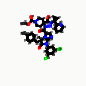 CC(C)(C)OC(=O)N1CCC(NC(=O)c2cnc3n2[C@](C)(Cc2ccc(C#N)cc2)C(=O)N3c2cc(Cl)cc(Cl)c2)(C(=O)NC2(c3ccccn3)CC2)CC1